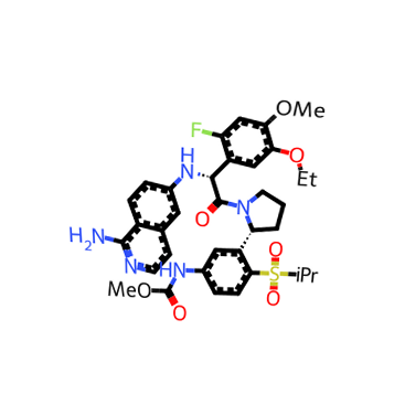 CCOc1cc([C@@H](Nc2ccc3c(N)nccc3c2)C(=O)N2CCC[C@@H]2c2cc(NC(=O)OC)ccc2S(=O)(=O)C(C)C)c(F)cc1OC